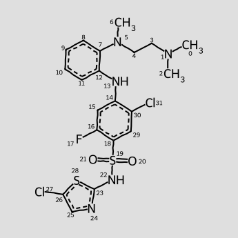 CN(C)CCN(C)c1ccccc1Nc1cc(F)c(S(=O)(=O)Nc2ncc(Cl)s2)cc1Cl